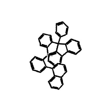 c1ccc(C2(c3ccccc3Nc3ccccc3-c3cccc4ccccc34)c3ccccc3-c3ccccc32)cc1